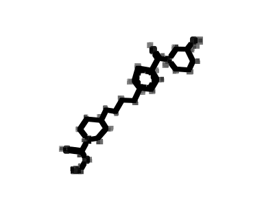 CC(C)(C)OC(=O)N1CCC(CCCCc2ccc(C(=O)N3CCCC(O)C3)cc2)CC1